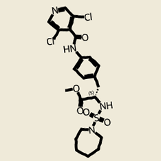 COC(=O)[C@H](Cc1ccc(NC(=O)c2c(Cl)cncc2Cl)cc1)NS(=O)(=O)N1CCCCCC1